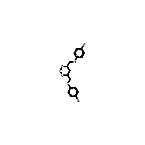 Brc1ccc(OCC2CC(COc3ccc(Br)cc3)[O][Ir][O]2)cc1